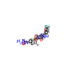 Cc1cc(NCC(N)=O)ccc1CCS(=O)(=O)N1CCC2(CC1)N=C(c1cccc(OC(F)(F)F)c1)NC2=O